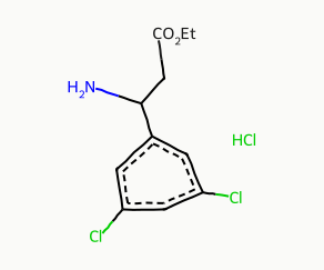 CCOC(=O)CC(N)c1cc(Cl)cc(Cl)c1.Cl